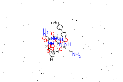 CCCCc1ccc(-c2ccc(OC(=O)N[C@@H](CCCCN)C(=O)N[C@H](C(=O)N[C@@H](C)C(=O)N[C@@H](CC(N)=O)C(=O)N[C@@H](C)B3OC4C[C@@H]5C[C@@H](C5(C)C)[C@]4(C)O3)C(C)O)cc2)cc1